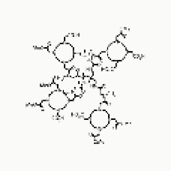 COC(=O)CN1CCN(CC(=O)O)CCN(CC(=O)N(C)CC(=O)NCC(CNC(=O)CN(C)C(=O)CN2CCN(CC(=O)O)CCN(CC(=O)O)CCN(CC(=O)OC)CC2)(CNC(=O)CN(C)C(=O)CN2CCN(CC(=O)O)CCN(CC(=O)O)CCN(CC(=O)OC)CC2)CNC(=O)CN(C)C(=O)CN2CCN(CC(=O)O)CCN(CC(=O)OC)CCN(CC(=O)OC)CC2)CCN(CC(=O)OC)CC1